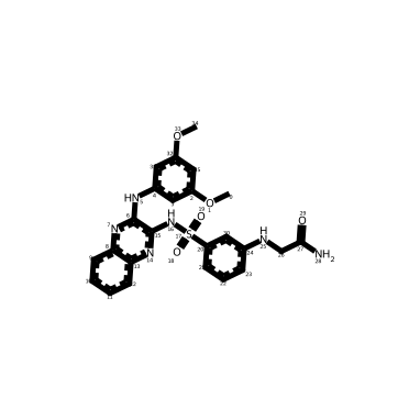 COc1cc(Nc2nc3ccccc3nc2NS(=O)(=O)c2cccc(NCC(N)=O)c2)cc(OC)c1